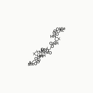 COC(=O)C(CC(C)=O)OC(=O)NC1CC(C)(C)CC(C)(CNC(=O)Nc2nc(=O)c(CCOC(=O)NCC3(C)CC(NC(=O)OC(CC(C)=O)C(=O)OC)CC(C)(C)C3)c(C)[nH]2)C1